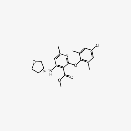 COC(=O)c1c(N[C@@H]2CCOC2)cc(C)nc1Oc1c(C)cc(Cl)cc1C